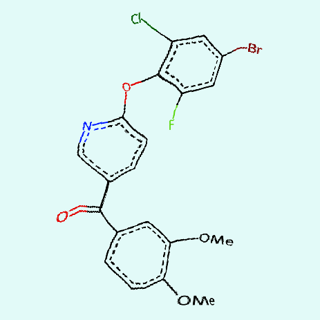 COc1ccc(C(=O)c2ccc(Oc3c(F)cc(Br)cc3Cl)nc2)cc1OC